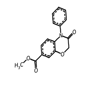 COC(=O)c1ccc2c(c1)OCC(=O)N2c1ccccc1